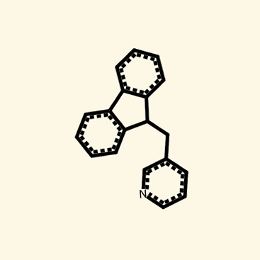 c1cncc(CC2c3ccccc3-c3ccccc32)c1